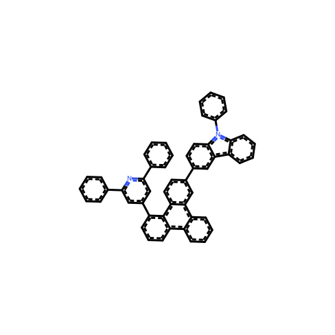 c1ccc(-c2cc(-c3cccc4c5ccccc5c5cc(-c6ccc7c(c6)c6ccccc6n7-c6ccccc6)ccc5c34)cc(-c3ccccc3)n2)cc1